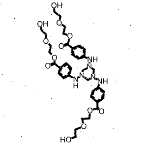 O=C(OCCOCCO)c1ccc(NN2CN(Nc3ccc(C(=O)OCCOCCO)cc3)CN(Nc3ccc(C(=O)OCCOCCO)cc3)C2)cc1